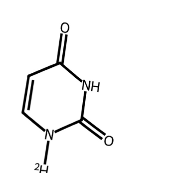 [2H]n1ccc(=O)[nH]c1=O